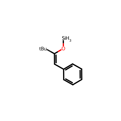 CC(C)(C)C(=Cc1ccccc1)O[SiH3]